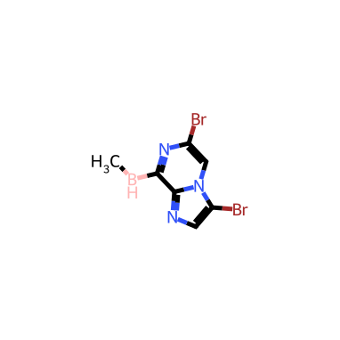 CBc1nc(Br)cn2c(Br)cnc12